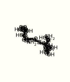 Nc1nc(=O)n([C@H]2CC(O)C(COP(=O)(O)OP(=O)(O)OP(=O)(O)O)O2)cc1C#CCNC(=O)CCSSCCCC(NC(=O)c1cccc([C@H](N)O)c1)C(=O)NC(CC(=O)O)C(=O)NC(CC(=O)O)C(=O)O